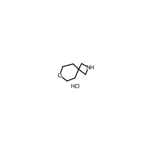 C1CC2(CCO1)CNC2.Cl